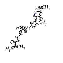 CNC(=O)/C=C\N(C=O)C1OC(COP(=O)(O)OCCSC(=O)C(C)C)CC1C